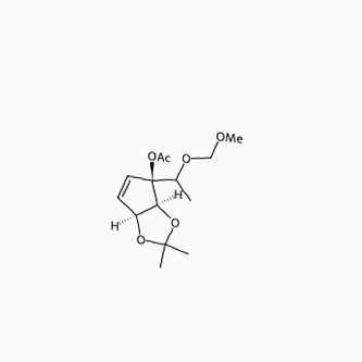 COCOC(C)[C@@]1(OC(C)=O)C=C[C@@H]2OC(C)(C)O[C@@H]21